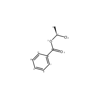 C[C@@H](Cl)OC(=O)c1ccccc1